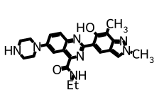 CCNC(=O)c1nc(-c2cc3cn(C)nc3c(C)c2O)nc2ccc(N3CCNCC3)cc12